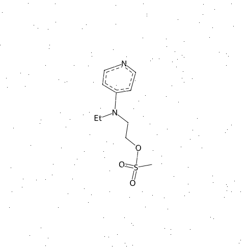 CCN(CCOS(C)(=O)=O)c1ccncc1